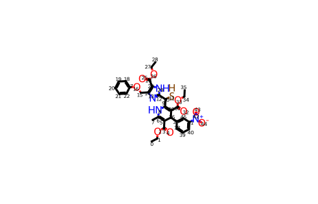 CCOC(=O)C1=C(C)NC(C(S)c2nc(COc3ccccc3)c(C(=O)OCC)[nH]2)=C(C(=O)OCC)C1c1cccc([N+](=O)[O-])c1